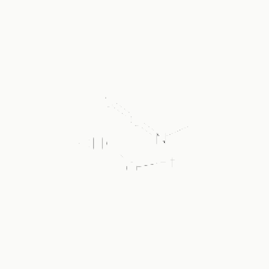 CCOC=O.CN=C=S